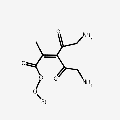 CCOOC(=O)C(C)=C(C(=O)CN)C(=O)CN